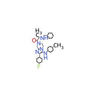 Cc1ccc(Nc2c(-c3ccc(F)cc3)nc3n2CCN(C(=O)[C@@H](C)NCc2ccccc2)C3)cc1